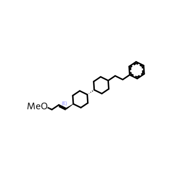 COC/C=C/[C@H]1CC[C@H](C2CCC(CCc3ccccc3)CC2)CC1